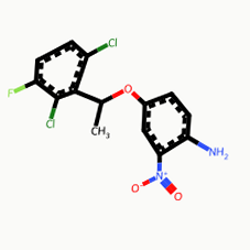 CC(Oc1ccc(N)c([N+](=O)[O-])c1)c1c(Cl)ccc(F)c1Cl